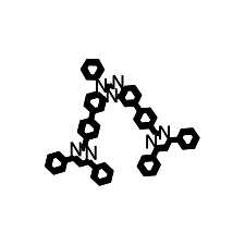 c1ccc(-c2cc(-c3ccccc3)nc(-c3ccc(-c4ccc5nc6n(-c7ccccc7)c7ccc(-c8ccc(-c9nc(-c%10ccccc%10)cc(-c%10ccccc%10)n9)cc8)cc7n6c5c4)cc3)n2)cc1